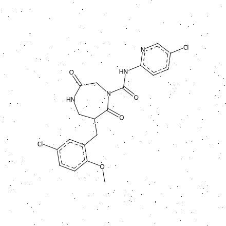 COc1ccc(Cl)cc1CC1CNC(=O)CN(C(=O)Nc2ccc(Cl)cn2)C1=O